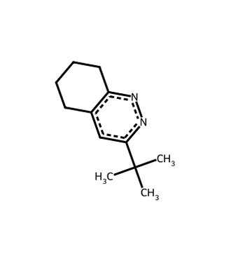 CC(C)(C)c1cc2c(nn1)CCCC2